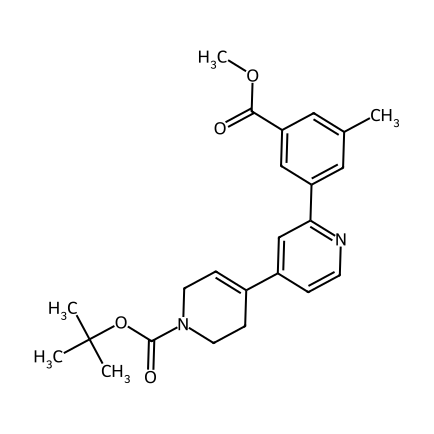 COC(=O)c1cc(C)cc(-c2cc(C3=CCN(C(=O)OC(C)(C)C)CC3)ccn2)c1